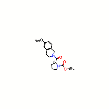 COc1ccc2c(c1)CCN(C(=O)[C@@H]1CCCN1C(=O)OC(C)(C)C)C2